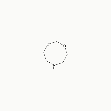 C1COCOCCN1